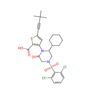 CC(C)(C)C#Cc1cc(N2C(=O)CN(S(=O)(=O)c3c(Cl)cccc3Cl)CC2C2CCCCC2)c(C(=O)O)s1